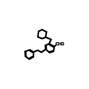 O=Cc1ccc(CCc2ccccc2)cc1CC1CCCCC1